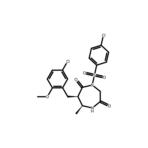 COc1ccc(Cl)cc1C[C@H]1C(=O)N(S(=O)(=O)c2ccc(Cl)cc2)CC(=O)N[C@H]1C